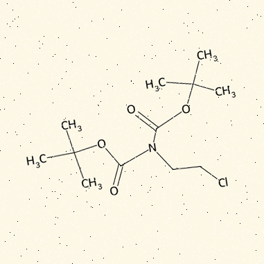 CC(C)(C)OC(=O)N(CCCl)C(=O)OC(C)(C)C